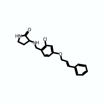 O=C1NCCC1NCc1ccc(OCC=Cc2ccccc2)cc1Cl